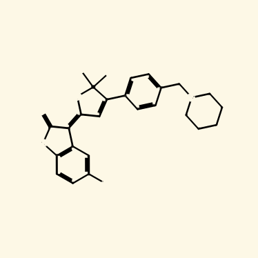 CC1(C)OC(=C2C(=O)Nc3ccc(F)cc32)C=C1c1ccc(CN2CCCCC2)cc1